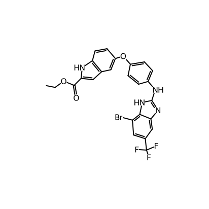 CCOC(=O)c1cc2cc(Oc3ccc(Nc4nc5cc(C(F)(F)F)cc(Br)c5[nH]4)cc3)ccc2[nH]1